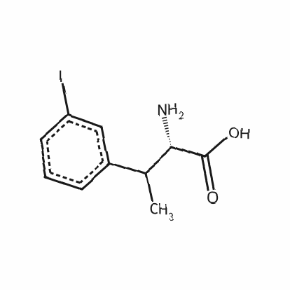 CC(c1cccc(I)c1)[C@H](N)C(=O)O